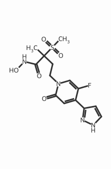 CC(CCn1cc(F)c(-c2cc[nH]n2)cc1=O)(C(=O)NO)S(C)(=O)=O